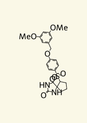 COc1cc(COc2ccc(S(=O)(=O)C3CCCC34NC(=O)NC4=O)cc2)cc(OC)c1